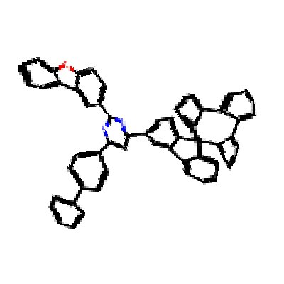 c1ccc(-c2ccc(-c3cc(-c4ccc5c(c4)-c4ccccc4C54c5ccccc5-c5ccccc5-c5ccccc54)nc(-c4ccc5oc6ccccc6c5c4)n3)cc2)cc1